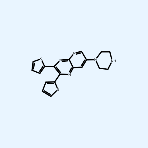 c1csc(-c2nc3cc(N4CCNCC4)cnc3nc2-c2cccs2)c1